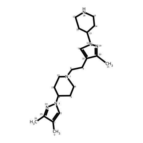 Cc1cn(C2CCN(CCc3cn(C4CCNCC4)nc3C)CC2)nc1C